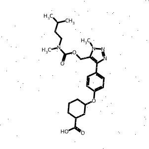 CC(C)CCN(C)C(=O)OCc1c(-c2ccc(OC3CCCC(C(=O)O)C3)cc2)nnn1C